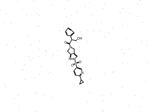 O=C(C(CO)c1ccccc1)N1Cc2cn(S(=O)(=O)c3ccc(C4CC4)nc3)nc2C1